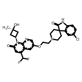 C[C@]1(O)C[C@@H](n2c(=O)cc(C(F)F)c3cc(OCCN4CCC5(CC4)C(=O)Nc4ccc(Cl)cc45)cnc32)C1